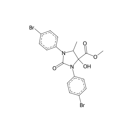 COC(=O)C1(O)C(C)N(c2ccc(Br)cc2)C(=O)N1c1ccc(Br)cc1